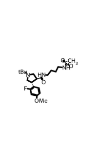 COc1ccc([C@@H]2CN(C(C)(C)C)C[C@H]2C(=O)NCCCCNS(C)(=O)=O)c(F)c1